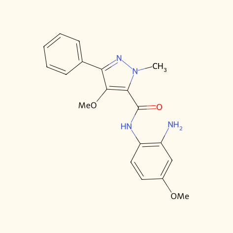 COc1ccc(NC(=O)c2c(OC)c(-c3ccccc3)nn2C)c(N)c1